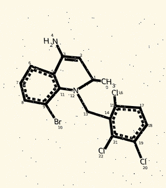 CC1C=C(N)c2cccc(Br)c2N1Cc1c(Cl)ccc(Cl)c1Cl